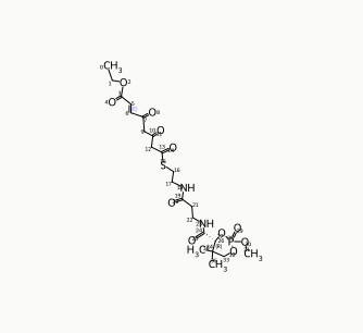 CCOC(=O)/C=C/C(=O)CC(=O)CC(=O)SCCNC(=O)CCNC(=O)[C@@H]1OP(=O)(OC)OCC1(C)C